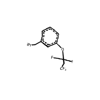 CC(C)c1cccc(OC(F)(F)C(F)(F)F)c1